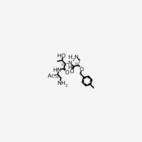 CC(=O)[C@H](CN)NC(=O)[C@@H](NC(=O)[C@H](CN)OCc1ccc(C)cc1)C(C)O